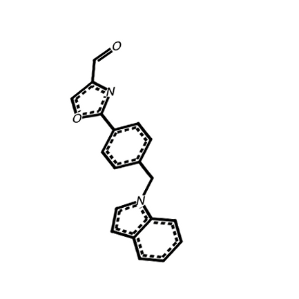 O=Cc1coc(-c2ccc(Cn3ccc4ccccc43)cc2)n1